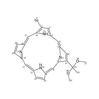 [2H]c1cc2cc3nc(cc4ccc(cc5nc(cc1[nH]2)C=C5)[nH]4)C(C(C)(OC)OC)=C3